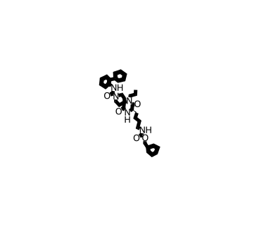 CCCN1C(=O)[C@H](CCCCNC(=O)OCc2ccccc2)NC(=O)C12CCN(C(=O)Nc1ccccc1-c1ccccc1)CC2